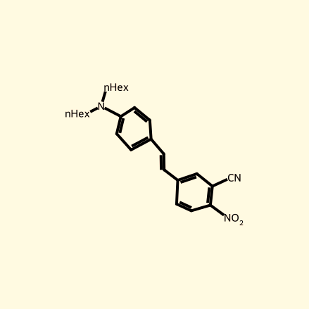 CCCCCCN(CCCCCC)c1ccc(C=Cc2ccc([N+](=O)[O-])c(C#N)c2)cc1